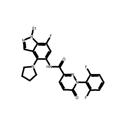 CCn1ncc2c(N3CCCC3)c(NC(=O)c3ccc(=O)n(-c4c(F)cccc4F)n3)cc(F)c21